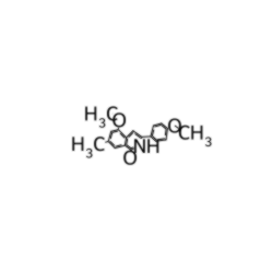 COc1ccc(-c2cc3c(OC)cc(C)cc3c(=O)[nH]2)cc1